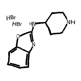 Br.Br.c1ccc2oc(NC3CCNCC3)nc2c1